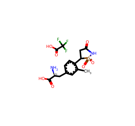 Cc1cc(C[C@H](N)C(=O)O)ccc1C1CC(=O)NS1(=O)=O.O=C(O)C(F)(F)F